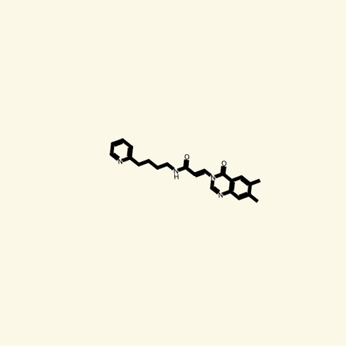 Cc1cc2ncn(/C=C/C(=O)NCCCCc3ccccn3)c(=O)c2cc1C